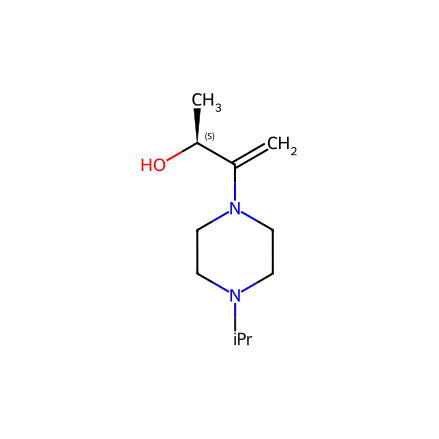 C=C([C@H](C)O)N1CCN(C(C)C)CC1